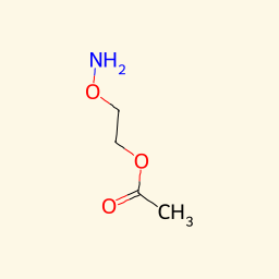 CC(=O)OCCON